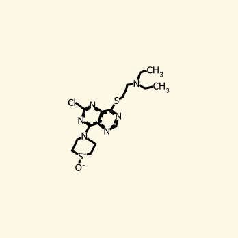 CCN(CC)CCSc1ncnc2c(N3CC[S+]([O-])CC3)nc(Cl)nc12